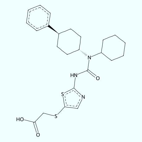 O=C(O)CSc1cnc(NC(=O)N(C2CCCCC2)[C@H]2CC[C@H](c3ccccc3)CC2)s1